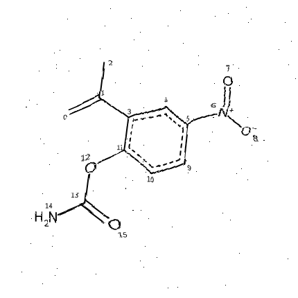 C=C(C)c1cc([N+](=O)[O-])ccc1OC(N)=O